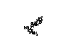 Nc1ccc(O)c(/C=C/C(=O)NCCCN2CCCC2=O)c1